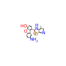 Cc1cncc(Cl)c1NC(=O)c1ccc(O)c2oc3ccc(N)cc3c12